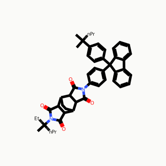 CCCC(C)(C)c1ccc(C2(c3ccc(N4C(=O)C5C6CCC(C5C4=O)C4C(=O)N(C(C)(CC)CCC)C(=O)C64)cc3)c3ccccc3-c3ccccc32)cc1